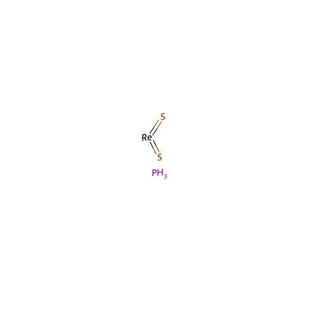 P.[S]=[Re]=[S]